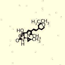 Cc1c(/C=C/C2CCOC(C)(C)C2)cc(C(=O)O)n1[C@@]1(c2noc(=O)[nH]2)C[C@@H]1C